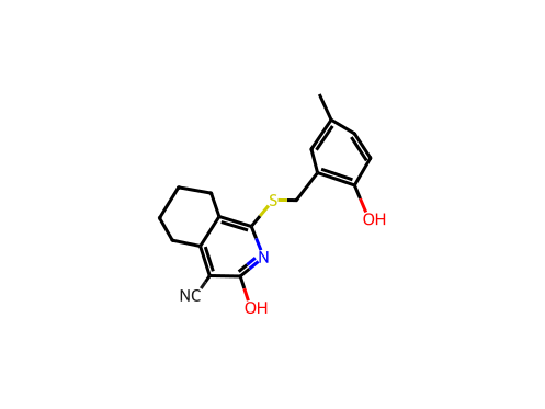 Cc1ccc(O)c(CSc2nc(O)c(C#N)c3c2CCCC3)c1